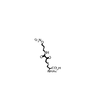 CC(=O)N[C@@H](CSCC(=O)C(=O)NCCCO[N+](=O)[O-])C(=O)O